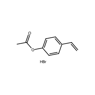 Br.C=Cc1ccc(OC(C)=O)cc1